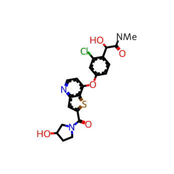 CNC(=O)C(O)c1ccc(Oc2ccnc3cc(C(=O)N4CCC(O)C4)sc23)cc1Cl